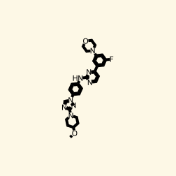 COC1CCN(c2ncn(-c3ccc(Nc4nccc(-c5cc(F)cc(N6CCOCC6)c5)n4)cc3)n2)CC1